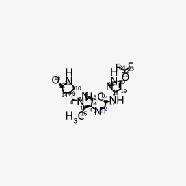 C=C(/C=N\c1cnn(C[C@H]2CNC(=O)C2)c1C)Nc1cc(OC(F)F)[nH]n1